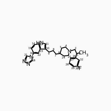 CC(CN1CCC(CCCc2c[nH]c3ccc(-n4cnnc4)cc23)CC1)c1cccc(F)c1